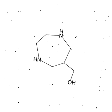 OCC1CNCCNC1